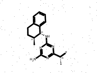 C[C@@H](F)c1nc(N)nc(N[C@H]2c3ccccc3CC[C@@H]2C)n1